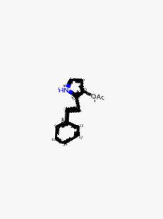 CC(=O)Oc1cc[nH]c1C=Cc1ccccc1